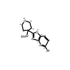 CNC1(c2nc3nc(Br)ccc3o2)CCOCC1